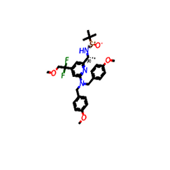 COCC(F)(F)c1cc([C@@H](C)N[S@+]([O-])C(C)(C)C)nc(N(Cc2ccc(OC)cc2)Cc2ccc(OC)cc2)c1